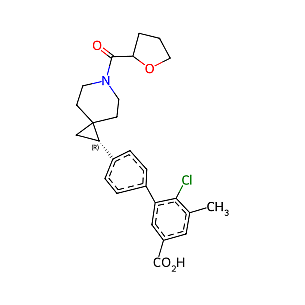 Cc1cc(C(=O)O)cc(-c2ccc([C@@H]3CC34CCN(C(=O)C3CCCO3)CC4)cc2)c1Cl